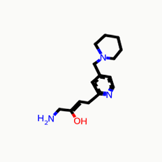 NCC(O)=CCc1cc(CN2CCCCC2)ccn1